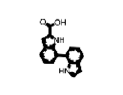 O=C(O)c1cc2cccc(-c3cccc4cc[nH]c34)c2[nH]1